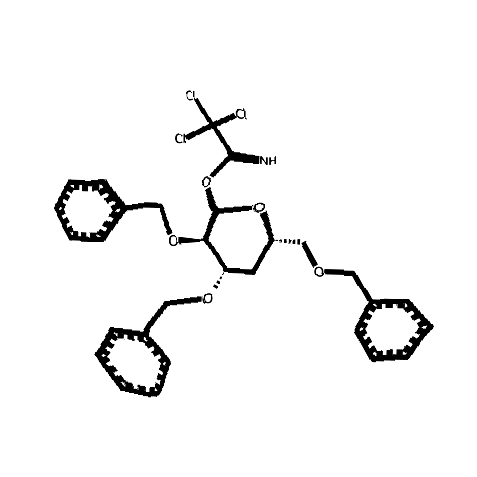 N=C(OC1O[C@H](COCc2ccccc2)C[C@H](OCc2ccccc2)[C@H]1OCc1ccccc1)C(Cl)(Cl)Cl